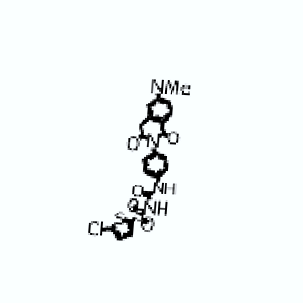 CNc1ccc2c(c1)CC(=O)N(c1ccc(NC(=O)NS(=O)(=O)c3ccc(Cl)s3)cc1)C2=O